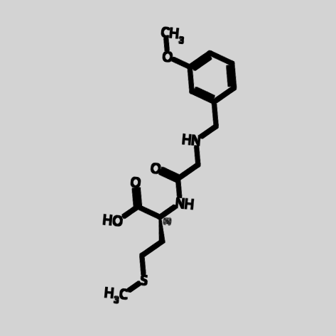 COc1cccc(CNCC(=O)N[C@@H](CCSC)C(=O)O)c1